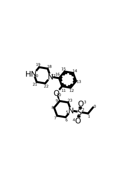 CCS(=O)(=O)N1CCC[C@@H](Oc2ccccc2N2CCNCC2)C1